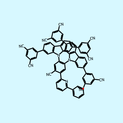 N#Cc1cc(C#N)cc(-c2ccc3c4ccc(-c5cc(C#N)cc(C#N)c5)cc4n(-c4cc(C#N)c(-c5cccc(-c6ccccc6)n5)cc4-n4c5cc(-c6cc(C#N)cc(C#N)c6)ccc5c5ccc(-c6cc(C#N)cc(C#N)c6)cc54)c3c2)c1